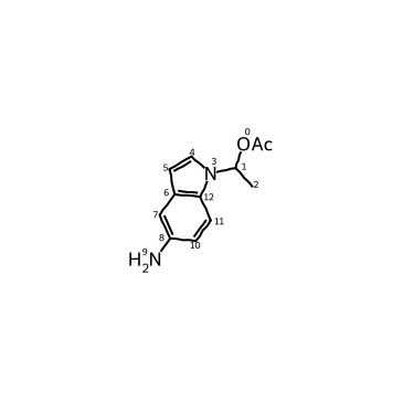 CC(=O)OC(C)n1ccc2cc(N)ccc21